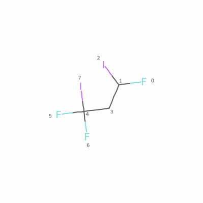 FC(I)CC(F)(F)I